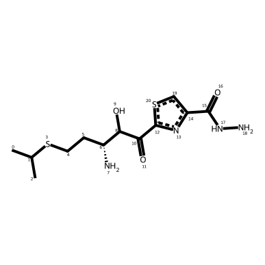 CC(C)SCC[C@@H](N)C(O)C(=O)c1nc(C(=O)NN)cs1